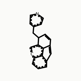 C1=CC(Cc2ccncc2)c2ccc3cccc4c3c2C1=C4